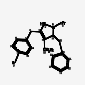 CCCN1NC(Cc2ccc(Br)cc2)=C(C(=O)OCC)C1Cc1ccccc1